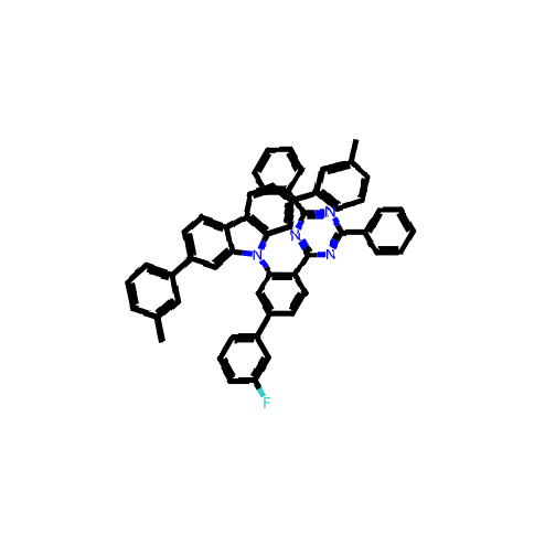 Cc1cccc(-c2ccc3c4ccc(-c5cccc(C)c5)cc4n(-c4cc(-c5cccc(F)c5)ccc4-c4nc(-c5ccccc5)nc(-c5ccccc5)n4)c3c2)c1